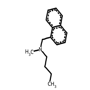 CCCCN(C)Cc1cccc2ccccc12